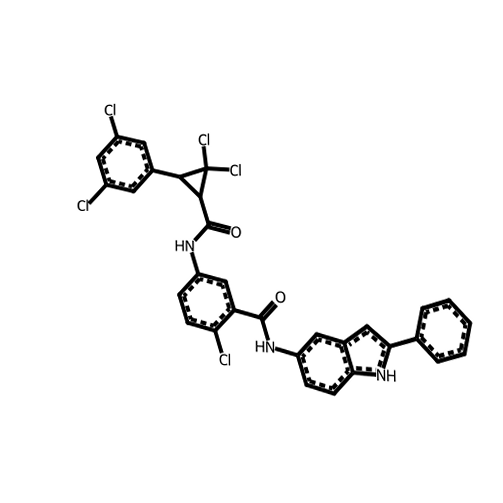 O=C(Nc1ccc2[nH]c(-c3ccccc3)cc2c1)c1cc(NC(=O)C2C(c3cc(Cl)cc(Cl)c3)C2(Cl)Cl)ccc1Cl